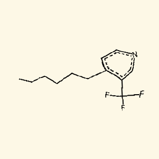 CCCCCCc1ccncc1C(F)(F)F